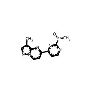 Cc1cnn2ccc(-c3ccnc([S+](C)[O-])n3)nc12